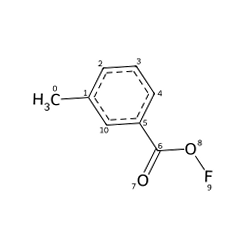 Cc1cccc(C(=O)OF)c1